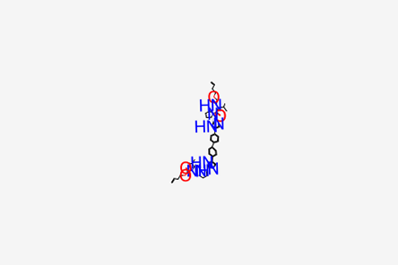 C=CCCOCN[C@H](C(=O)N1CCC[C@H]1c1ncc(-c2ccc(-c3ccc(-c4cnc([C@@H]5CCCN5C[C@@H](NC(=O)OCCC=C)C(C)C)[nH]4)cc3)cc2)[nH]1)C(C)C